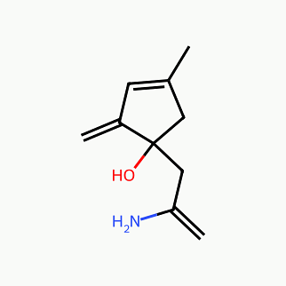 C=C(N)CC1(O)CC(C)=CC1=C